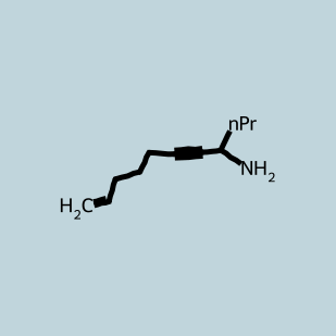 C=CCCCC#CC(N)CCC